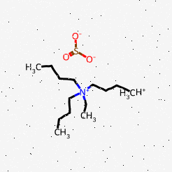 CCCC[N+](CC)(CCCC)CCCC.O=S([O-])[O-].[H+]